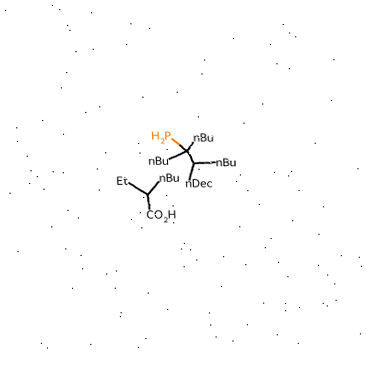 CCCCC(CC)C(=O)O.CCCCCCCCCCC(CCCC)C(P)(CCCC)CCCC